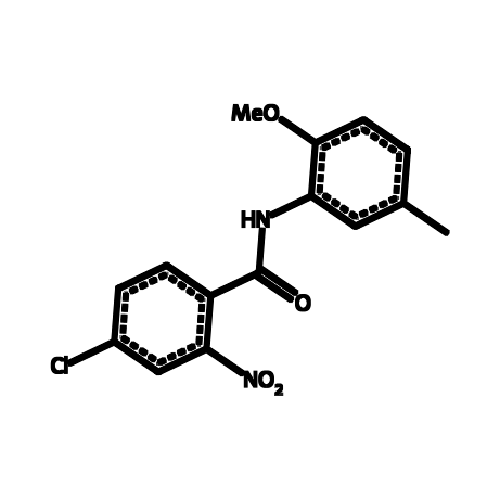 COc1ccc(C)cc1NC(=O)c1ccc(Cl)cc1[N+](=O)[O-]